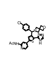 CC(=O)Nc1cc(-c2cc(C(c3ccc(Cl)cc3)N3CC4(COC4)C3)c(-c3nnc[nH]3)s2)ccn1